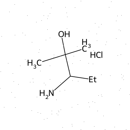 CCC(N)C(C)(C)O.Cl